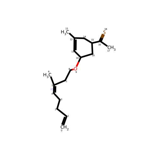 C=CCC/C=C(/C)CCOC1C=C(C)CC(C(C)=S)C1